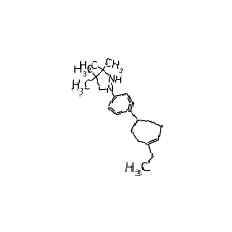 CCC1=CCCC(c2ccc(N3CC(C)(C)C(C)(C)N3)cc2)CC1